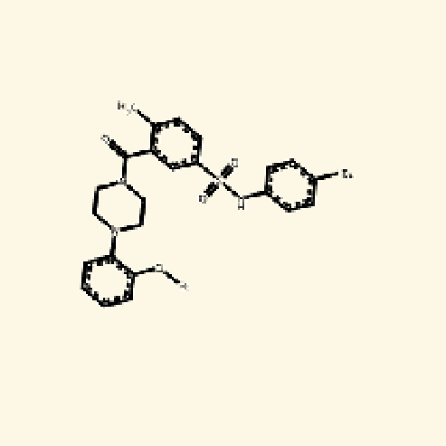 CCCCc1ccc(NS(=O)(=O)c2ccc(C)c(C(=O)N3CCN(c4ccccc4OCC)CC3)c2)cc1